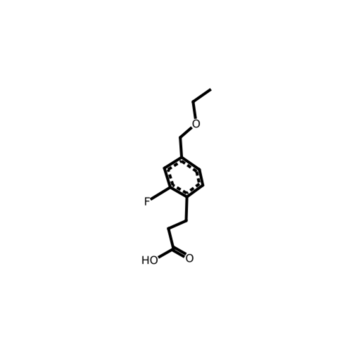 CCOCc1ccc(CCC(=O)O)c(F)c1